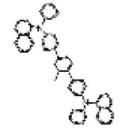 CC1CC(c2ccc(N(c3ccccc3)c3cccc4ccccc34)cc2)=CC=C1c1ccc(N(c2ccccc2)c2cccc3ccccc23)cc1